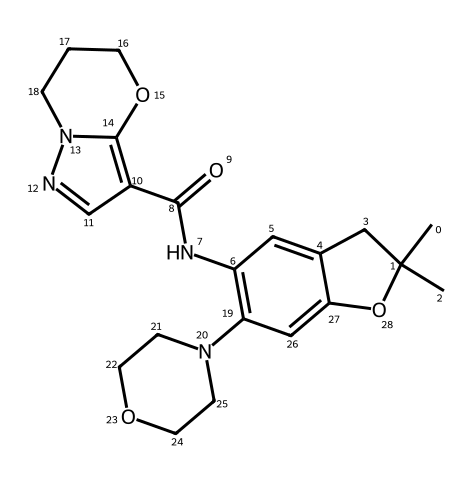 CC1(C)Cc2cc(NC(=O)c3cnn4c3OCCC4)c(N3CCOCC3)cc2O1